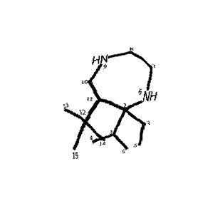 CCC1(C(C)C)NCCNCC1C(C)(C)C